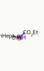 CCCCCCCC(CCCCS(=O)(=O)NCCCCCCC(=O)OCC)OC(C)=O